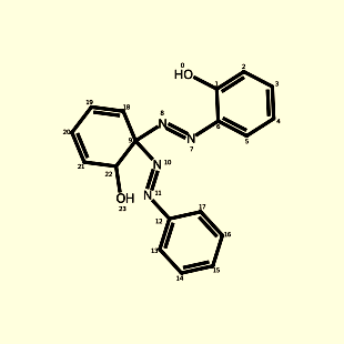 Oc1ccccc1N=NC1(N=Nc2ccccc2)C=CC=CC1O